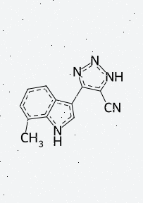 Cc1cccc2c(-c3nn[nH]c3C#N)c[nH]c12